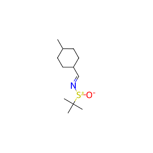 CC1CCC(/C=N/[S+]([O-])C(C)(C)C)CC1